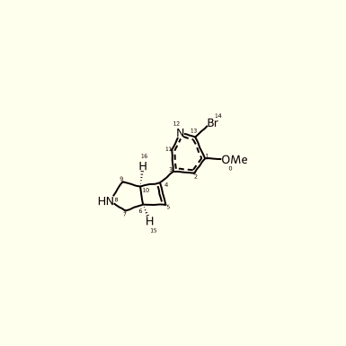 COc1cc(C2=C[C@H]3CNC[C@@H]23)cnc1Br